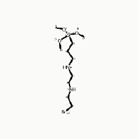 CO[Si](CCCNCCNCCBr)(OC)OC